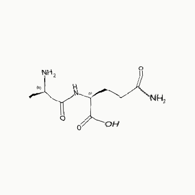 C[C@@H](N)C(=O)N[C@@H](CCC(N)=O)C(=O)O